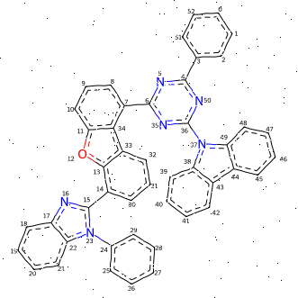 c1ccc(-c2nc(-c3cccc4oc5c(-c6nc7ccccc7n6-c6ccccc6)cccc5c34)nc(-n3c4ccccc4c4ccccc43)n2)cc1